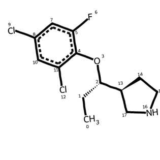 CC[C@H](Oc1c(F)cc(Cl)cc1Cl)[C@H]1CCNC1